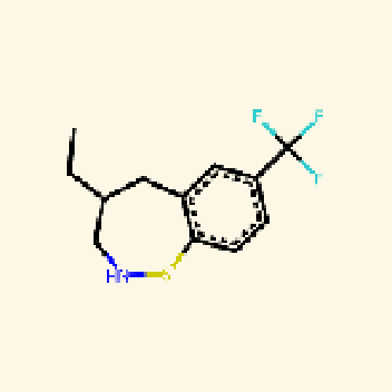 CCC1CNSc2ccc(C(F)(F)F)cc2C1